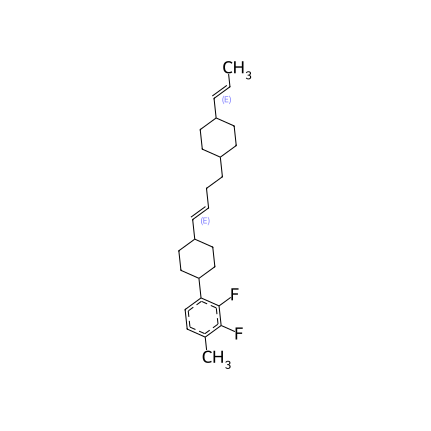 C/C=C/C1CCC(CC/C=C/C2CCC(c3ccc(C)c(F)c3F)CC2)CC1